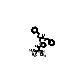 CN[C@H](C(=O)N1CCC[C@H]1CN(CCc1ccccc1)C(=O)OCc1ccccc1)C(C)C